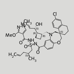 C=CC[C@H](C)CS(=O)(=NC(=O)c1ccc2c(c1)N(C[C@@H]1CC[C@H]1[C@@H](O)C=C)C[C@@]1(CCCc3cc(Cl)ccc31)CO2)NC(=O)c1cn(C)nc1OC